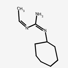 C/C=N\C(N)=N/C1CCCCCC1